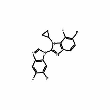 Fc1cc2ncn(-c3nc4ccc(F)c(F)c4n3C3CC3)c2cc1F